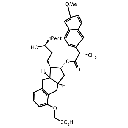 CCCCC[C@H](O)CC[C@@H]1[C@H]2Cc3cccc(OCC(=O)O)c3C[C@H]2C[C@H]1OC(=O)[C@@H](C)c1ccc2cc(OC)ccc2c1